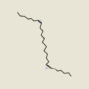 CCCCCC/C=C\CCCCCCCCCC/C=C\CCCCCC